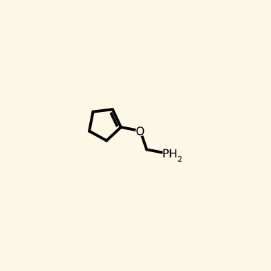 PCOC1=CCCC1